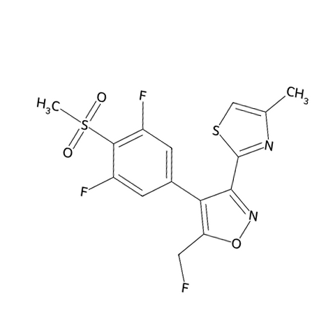 Cc1csc(-c2noc(CF)c2-c2cc(F)c(S(C)(=O)=O)c(F)c2)n1